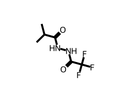 CC(C)C(=O)NNC(=O)C(F)(F)F